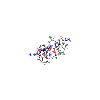 Cc1cccc(N([C@H]2CC(F)(F)CN2[C@]2(C(=O)NC(=O)O)c3ccc(cc3)CC(C(N)=O)C2(C)C)[C@H]2CC(F)(F)CN2[C@]2(C(=O)NC(=O)O)c3ccc(cc3)CC(C(N)=O)C2(C)C)c1C